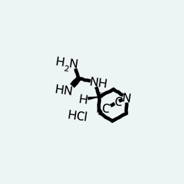 Cl.N=C(N)N[C@@H]1CN2CCC1CC2